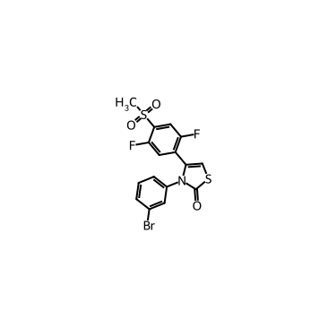 CS(=O)(=O)c1cc(F)c(-c2csc(=O)n2-c2cccc(Br)c2)cc1F